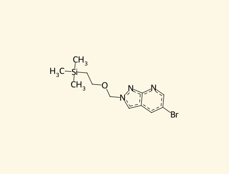 C[Si](C)(C)CCOCn1cc2cc(Br)cnc2n1